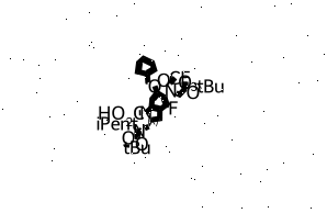 CCCC(C)N(C[C@H]1Cc2c(cc(OCc3ccccc3)c(N(CC(=O)OC(C)(C)C)C(=O)C(F)(F)F)c2F)N1C(=O)O)C(=O)OC(C)(C)C